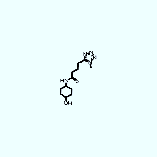 Cn1nnnc1CCCC(=S)NC1CCC(O)CC1